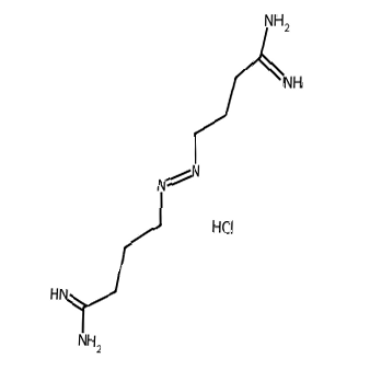 Cl.N=C(N)CCCN=NCCCC(=N)N